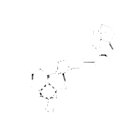 Nc1ccc([C@@H](CC(=O)O)N2CCN(CCCC3=CC=C4CCCNC4N3)C2=O)cn1